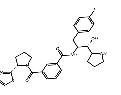 Cc1csc([C@@H]2CCCN2C(=O)c2cccc(C(=O)NC(Cc3ccc(F)cc3)[C@H](O)C3CCCN3)c2)n1